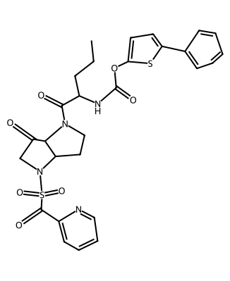 CCCC(NC(=O)Oc1ccc(-c2ccccc2)s1)C(=O)N1CCC2C1C(=O)CN2S(=O)(=O)C(=O)c1ccccn1